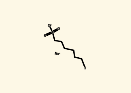 O=S(=O)([O-])CCCCCCI.[Na+]